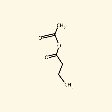 [CH2]C(=O)OC(=O)CCC